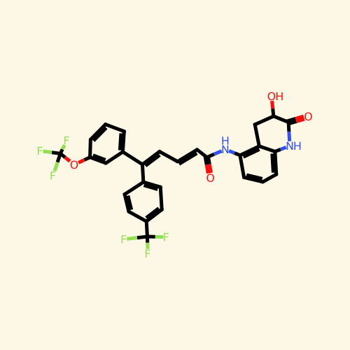 O=C(/C=C/C=C(\c1ccc(C(F)(F)F)cc1)c1cccc(OC(F)(F)F)c1)Nc1cccc2c1CC(O)C(=O)N2